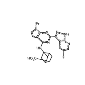 CC(C)n1ccc2c(NC3C4CCC(CC4)C3C(=O)O)nc(-c3n[nH]c4ncc(F)cc34)nc21